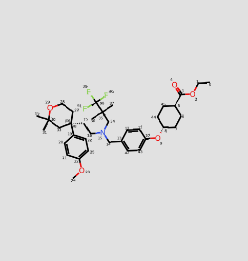 CCOC(=O)[C@H]1CC[C@H](Oc2ccc(CN(CC[C@@]3(c4ccc(OC)cc4)CCOC(C)(C)C3)CC(C)(C)C(F)(F)F)cc2)CC1